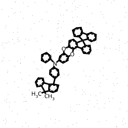 CC1(C)c2ccccc2-c2c(-c3ccc(N(c4ccccc4)c4ccc5c(c4)Oc4ccc6c(c4O5)-c4ccccc4C64c5ccccc5-c5ccccc54)cc3)cccc21